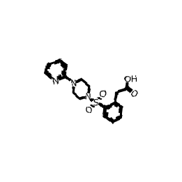 O=C(O)Cc1ccccc1S(=O)(=O)N1CCN(c2ccccn2)CC1